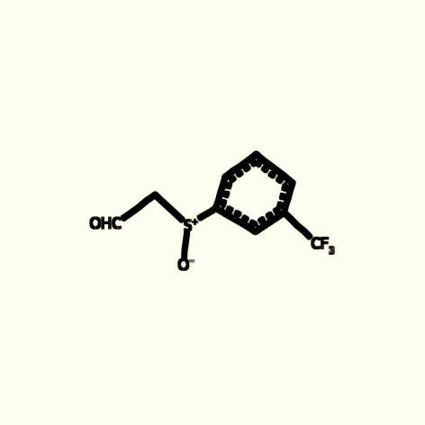 O=CC[S+]([O-])c1cccc(C(F)(F)F)c1